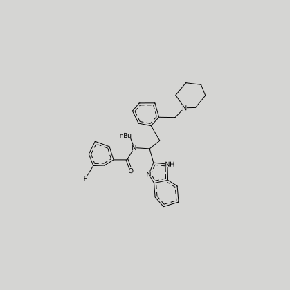 CCCCN(C(=O)c1cccc(F)c1)C(Cc1ccccc1CN1CCCCC1)c1nc2ccccc2[nH]1